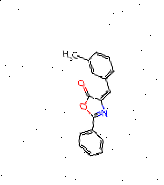 Cc1cccc(C=C2N=C(c3ccccc3)OC2=O)c1